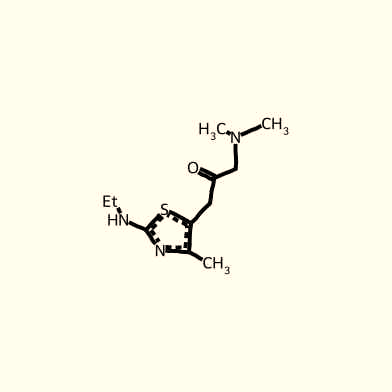 CCNc1nc(C)c(CC(=O)CN(C)C)s1